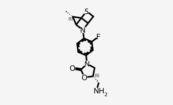 C[C@H]1C2N(c3ccc(N4C[C@H](CN)OC4=O)cc3F)C3CSC321